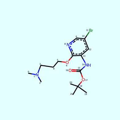 CN(C)CCCOc1ncc(Br)cc1NC(=O)OC(C)(C)C